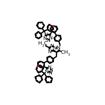 CCc1nc2c(Cc3ccc(-c4ccccc4-c4nnnn4C(c4ccccc4)(c4ccccc4)c4ccccc4)cc3)c(C)n(Cc3ccc(-c4ccccc4-c4nnnn4C(c4ccccc4)(c4ccccc4)c4ccccc4)cc3)n2n1